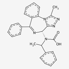 Cc1nnc2n1-c1ccccc1C(c1ccccc1)=N[C@H]2N(C(=O)O)C(C)c1ccccc1